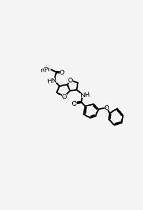 CCCC(=O)NC1COC2C(NC(=O)c3cccc(Oc4ccccc4)c3)COC12